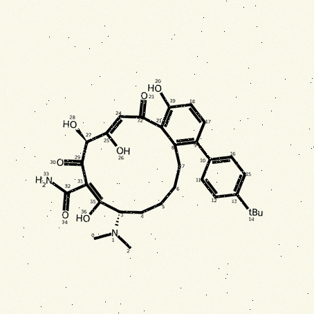 CN(C)[C@H]1CCCCc2c(-c3ccc(C(C)(C)C)cc3)ccc(O)c2C(=O)/C=C(\O)[C@H](O)C(=O)/C(C(N)=O)=C\1O